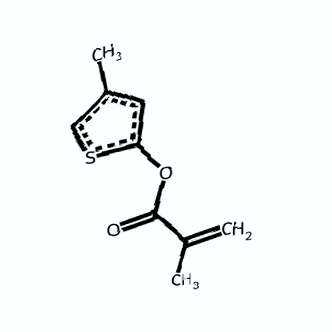 C=C(C)C(=O)Oc1cc(C)cs1